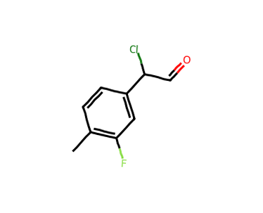 Cc1ccc(C(Cl)C=O)cc1F